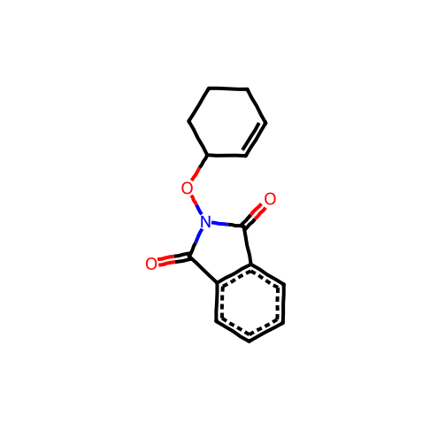 O=C1c2ccccc2C(=O)N1OC1C=CCCC1